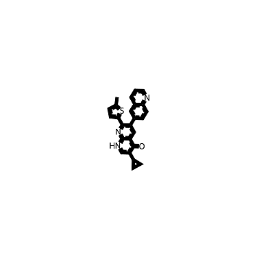 Cc1ccc(-c2nc3[nH]cc(C4CC4)c(=O)c3cc2-c2ccc3ncccc3c2)s1